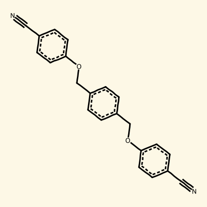 N#Cc1ccc(OCc2ccc(COc3ccc(C#N)cc3)cc2)cc1